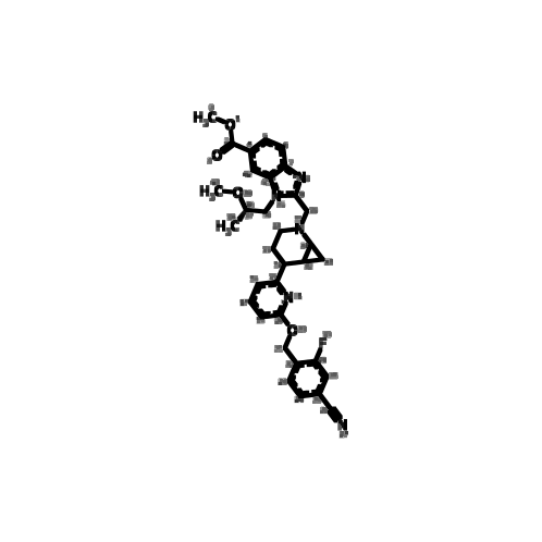 COC(=O)c1ccc2nc(CN3CCC(c4cccc(OCc5ccc(C#N)cc5F)n4)C4CC43)n(C[C@@H](C)OC)c2c1